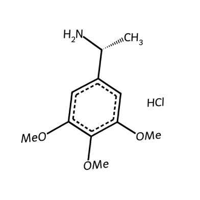 COc1cc([C@@H](C)N)cc(OC)c1OC.Cl